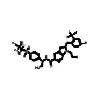 [2H]C([2H])([2H])C([2H])([2H])S(=O)(=O)c1ccc(C(CO)NC(=O)c2ccc3c(c2)cc(Cc2ccc(F)cc2C(F)(F)F)n3CCF)cc1